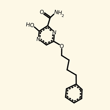 NC(=O)c1nc(OCCCCc2ccccc2)cnc1O